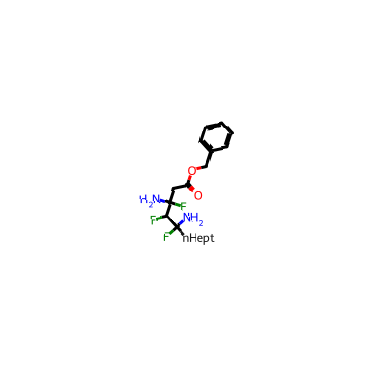 CCCCCCCC(N)(F)C(F)C(N)(F)CC(=O)OCc1ccccc1